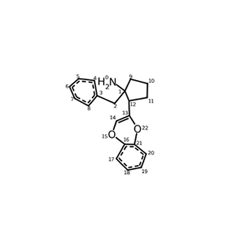 NC1(Cc2ccccc2)CCCC1C1=COc2ccccc2O1